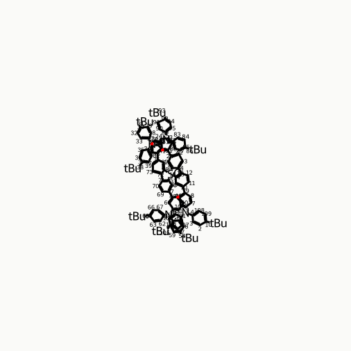 CC(C)(C)c1ccc(N(c2ccc(-c3ccc4c(c3)S3(=O)(c5cc(-c6cccc(N(c7ccc(C(C)(C)C)cc7)c7ccc(C(C)(C)C)cc7)c6)ccc5-4)c4cc(-c5cccc(N(c6ccc(C(C)(C)C)cc6)c6ccc(C(C)(C)C)cc6)c5)ccc4-c4ccc(-c5cccc(N(c6ccc(C(C)(C)C)cc6)c6ccc(C(C)(C)C)cc6)c5)cc43)cc2)c2ccc(C(C)(C)C)cc2)cc1